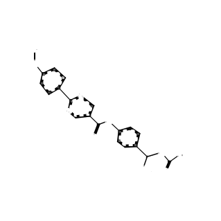 CCCCCCCCOc1ccc(-c2ncc(C(=O)Oc3ccc(C(C)OC(=O)CCC)cc3)cn2)cc1